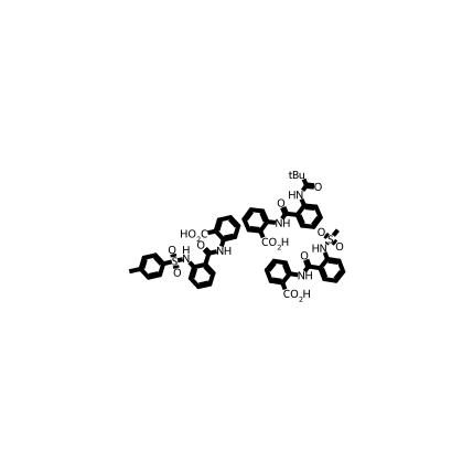 CC(C)(C)C(=O)Nc1ccccc1C(=O)Nc1ccccc1C(=O)O.CS(=O)(=O)Nc1ccccc1C(=O)Nc1ccccc1C(=O)O.Cc1ccc(S(=O)(=O)Nc2ccccc2C(=O)Nc2ccccc2C(=O)O)cc1